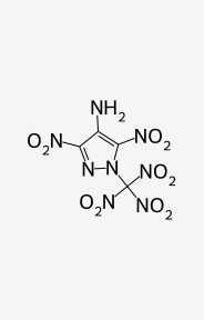 Nc1c([N+](=O)[O-])nn(C([N+](=O)[O-])([N+](=O)[O-])[N+](=O)[O-])c1[N+](=O)[O-]